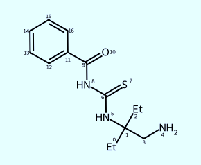 CCC(CC)(CN)NC(=S)NC(=O)c1ccccc1